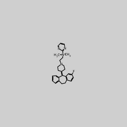 C[N+](C)(CCN1CCC(=C2c3ccccc3CCc3ccc(F)cc32)CC1)c1ncccn1